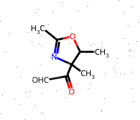 CC1=NC(C)(C(=O)C=O)C(C)O1